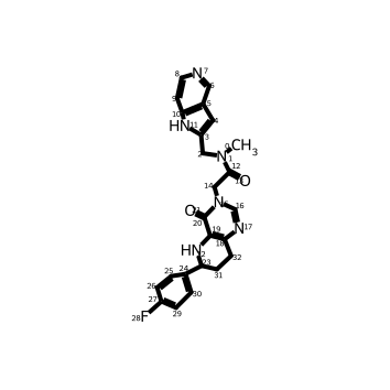 CN(Cc1cc2cnccc2[nH]1)C(=O)Cn1cnc2c(c1=O)NC(c1ccc(F)cc1)CC2